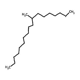 C[CH]CCCCCC(C)CCCCCCCCCC